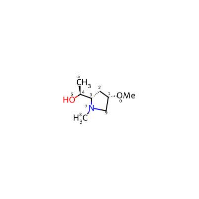 CO[C@H]1C[C@@H]([C@H](C)O)N(C)C1